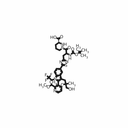 COC(C)c1ncccc1-c1c(CC(C)(C)CO)c2cc(-c3nc(CC(NC(=O)OC(C)(C)C)C(=O)N4CCC[C@@H](C(=O)O)N4)ns3)ccc2n1CC(F)(F)F